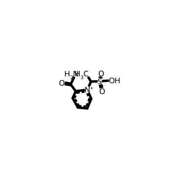 CC([n+]1ccccc1C(N)=O)S(=O)(=O)O